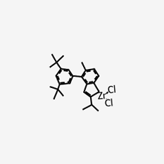 Cc1ccc2c(c1-c1cc(C(C)(C)C)cc(C(C)(C)C)c1)C=C(C(C)C)[CH]2[Zr]([Cl])[Cl]